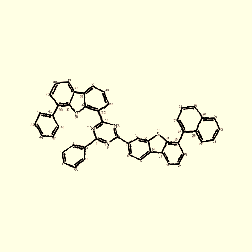 c1ccc(-c2nc(-c3ccc4c(c3)sc3c(-c5cccc6ccccc56)cccc34)nc(-c3cccc4c3oc3c(-c5ccccc5)cccc34)n2)cc1